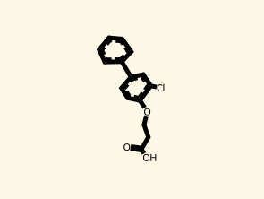 O=C(O)CCOc1ccc(-c2ccccc2)cc1Cl